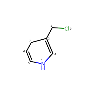 ClCC1=CNC=CC1